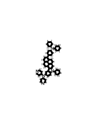 c1ccc(N(c2ccccc2)c2ccc(-c3ccc4ccc5c6c(ccc3c46)cc3c5c4cc(N(c5ccncc5)c5ccncc5)ccc4n3-c3ccccc3)cc2)cc1